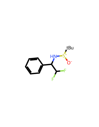 CC(C)(C)[S+]([O-])NC(c1ccccc1)C(F)F